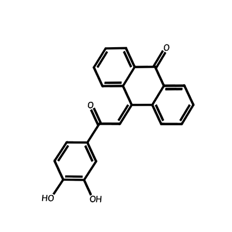 O=C(C=C1c2ccccc2C(=O)c2ccccc21)c1ccc(O)c(O)c1